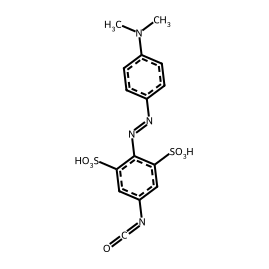 CN(C)c1ccc(/N=N/c2c(S(=O)(=O)O)cc(N=C=O)cc2S(=O)(=O)O)cc1